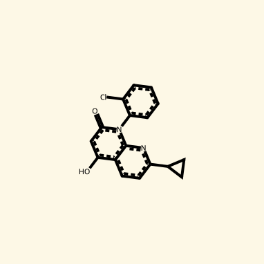 O=c1cc(O)c2ccc(C3CC3)nc2n1-c1ccccc1Cl